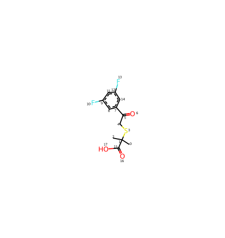 CC(C)(SCC(=O)c1cc(F)cc(F)c1)C(=O)O